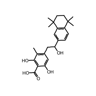 Cc1c(CC(O)c2ccc3c(c2)C(C)(C)CCC3(C)C)cc(O)c(C(=O)O)c1O